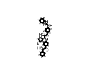 O=C(c1ccc(OC(C(=O)Cc2ccc(Nc3nc4ccccc4o3)cc2)[C@@H]2C[C@H](F)CN2)cc1)C(O)c1ccccc1